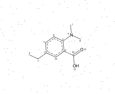 CCc1ccc(N(C)C)c(C(=O)O)c1